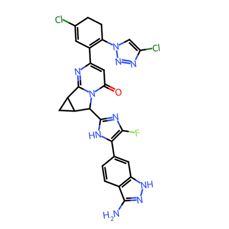 Nc1n[nH]c2cc(-c3[nH]c(C4C5CC5c5nc(C6=C(n7cc(Cl)nn7)CCC(Cl)=C6)cc(=O)n54)nc3F)ccc12